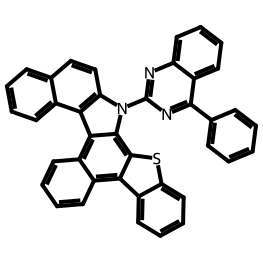 c1ccc(-c2nc(-n3c4ccc5ccccc5c4c4c5ccccc5c5c6ccccc6sc5c43)nc3ccccc23)cc1